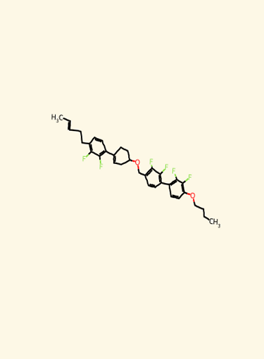 C/C=C/CCc1ccc(C2=CCC(OCc3ccc(-c4ccc(OCCCC)c(F)c4F)c(F)c3F)CC2)c(F)c1F